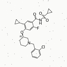 O=C(NS(=O)(=O)C1CC1)c1cc(C2CC2)c(O[C@@H]2CCCN(Cc3ccccc3Cl)C2)cc1F